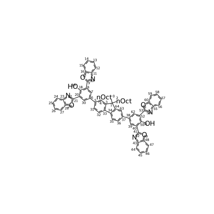 CCCCCCCCC1(CCCCCCCC)c2cc(-c3cc(-c4nc5ccccc5o4)c(O)c(-c4nc5ccccc5o4)c3)ccc2-c2ccc(-c3cc(-c4nc5ccccc5o4)c(O)c(-c4nc5ccccc5o4)c3)cc21